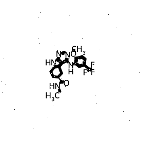 CCNC(=O)[C@H]1CCc2[nH]c3ncnc(Nc4cc(C(F)(F)F)ccc4OC)c3c2C1